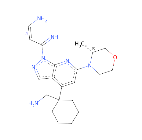 C[C@@H]1COCCN1c1cc(C2(CN)CCCCC2)c2cnn(C(=N)/C=C\N)c2n1